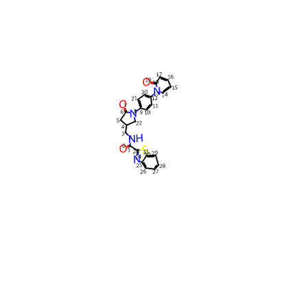 O=C(NCC1CC(=O)N(c2ccc(-n3ccccc3=O)cc2)C1)c1nc2ccccc2s1